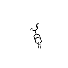 C/C=C/C(=O)C1CC2CNCC(C2)C1